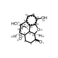 Cl.O=C1CC[C@@]2(O)[C@H]3Cc4ccc(O)c5c4[C@@]2(CCN3)[C@H]1O5